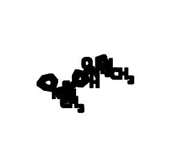 CCn1nccc1NC(=O)c1ccc(-c2nn(C)c(=NC3CCCCC3)s2)cc1